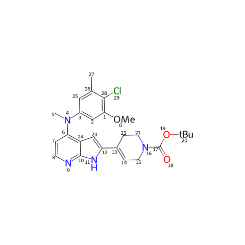 COc1cc(N(C)c2ccnc3[nH]c(C4=CCN(C(=O)OC(C)(C)C)CC4)cc23)cc(C)c1Cl